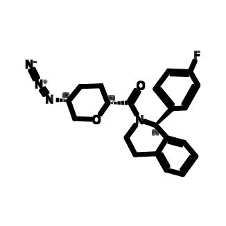 [N-]=[N+]=N[C@@H]1CC[C@H](C(=O)N2CCc3ccccc3[C@@H]2c2ccc(F)cc2)OC1